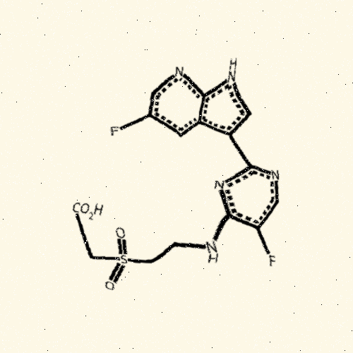 O=C(O)CS(=O)(=O)CCNc1nc(-c2c[nH]c3ncc(F)cc23)ncc1F